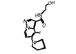 O=C(NCCO)c1cnn2ccc(N3CCCC3)c(F)c12